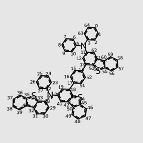 c1ccc(N(c2ccccc2)c2cc(-c3ccc(-c4cc(N(c5ccccc5)c5cccc6c5sc5ccccc56)cc5c4sc4ccccc45)cc3)c3sc4ccccc4c3c2)cc1